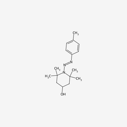 Cc1ccc(N=NN2C(C)(C)CC(O)CC2(C)C)cc1